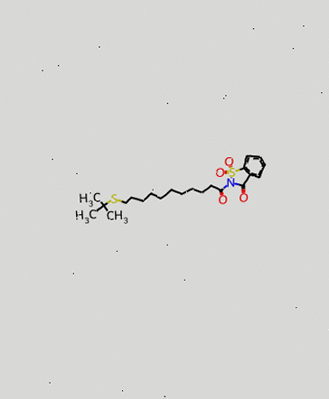 CC(C)(C)SCCCCCCCCCCC(=O)N1C(=O)c2ccccc2S1(=O)=O